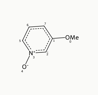 COc1[c][n+]([O-])ccc1